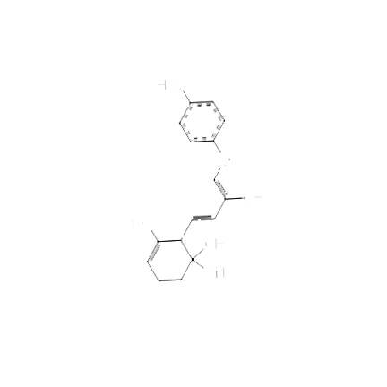 CC(C=CC1C(C)=CCCC1(C)C)=COc1ccc(C)cc1